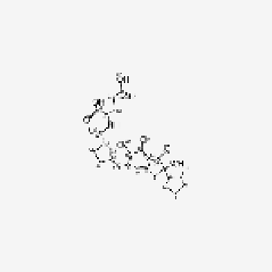 CC1(C2CCCC2)Cc2cc(S[C@H]3CC[C@H](C(=O)N[C@@H](CCC(=O)O)C(=O)O)C3)c(Cl)c(Cl)c2C1=O